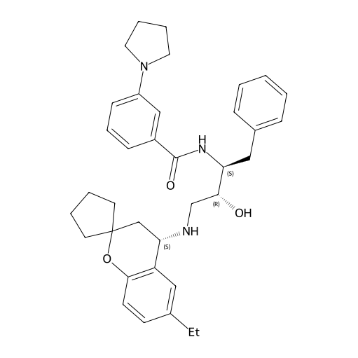 CCc1ccc2c(c1)[C@@H](NC[C@@H](O)[C@H](Cc1ccccc1)NC(=O)c1cccc(N3CCCC3)c1)CC1(CCCC1)O2